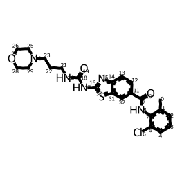 Cc1cccc(Cl)c1NC(=O)c1ccc2nc(NC(=O)NCCCN3CCOCC3)sc2c1